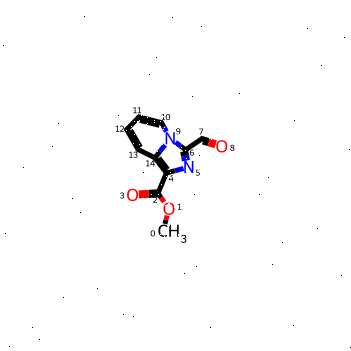 COC(=O)c1nc(C=O)n2ccccc12